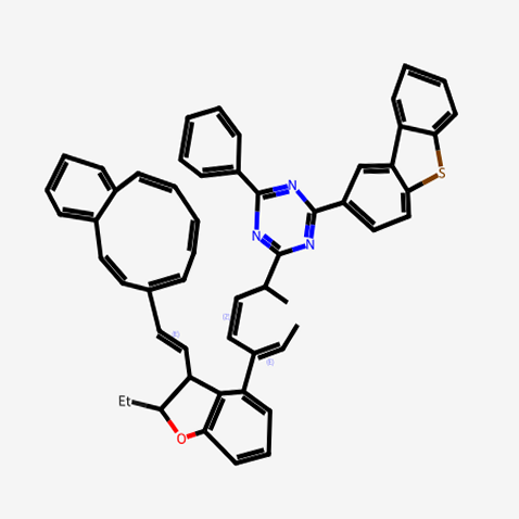 C/C=C(\C=C/C(C)c1nc(-c2ccccc2)nc(-c2ccc3sc4ccccc4c3c2)n1)c1cccc2c1C(/C=C/c1cccccc3ccccc3cc1)C(CC)O2